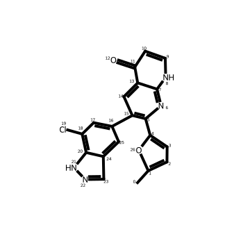 Cc1ccc(-c2nc3[nH]ccc(=O)c3cc2-c2cc(Cl)c3[nH]ncc3c2)o1